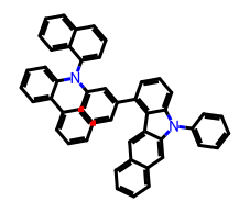 c1ccc(-c2ccccc2N(c2cccc(-c3cccc4c3c3cc5ccccc5cc3n4-c3ccccc3)c2)c2cccc3ccccc23)cc1